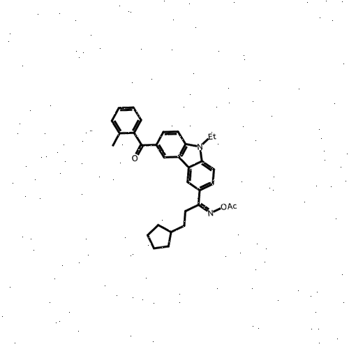 CCn1c2ccc(C(=O)c3ccccc3C)cc2c2cc(/C(CCC3CCCC3)=N\OC(C)=O)ccc21